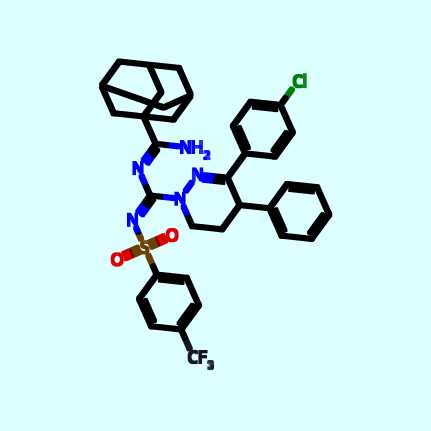 N/C(=N\C(=N\S(=O)(=O)c1ccc(C(F)(F)F)cc1)N1CCC(c2ccccc2)C(c2ccc(Cl)cc2)=N1)C12CC3CC(CC(C3)C1)C2